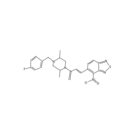 CC1CN(C(=O)C=Cc2ccc3nsnc3c2[N+](=O)[O-])C(C)CN1Cc1ccc(F)cc1